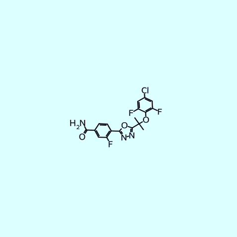 CC(C)(Oc1c(F)cc(Cl)cc1F)c1nnc(-c2ccc(C(N)=O)cc2F)o1